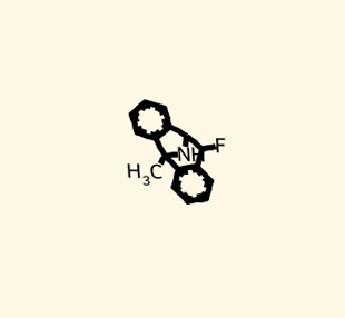 CC12NC(c3ccccc31)C(F)c1ccccc12